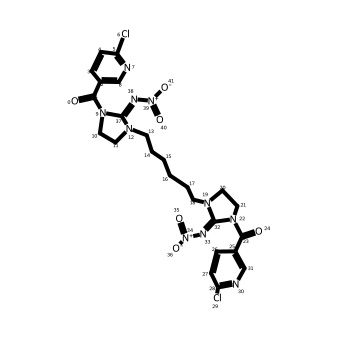 O=C(c1ccc(Cl)nc1)N1CCN(CCCCCCN2CCN(C(=O)c3ccc(Cl)nc3)C2=N[N+](=O)[O-])C1=N[N+](=O)[O-]